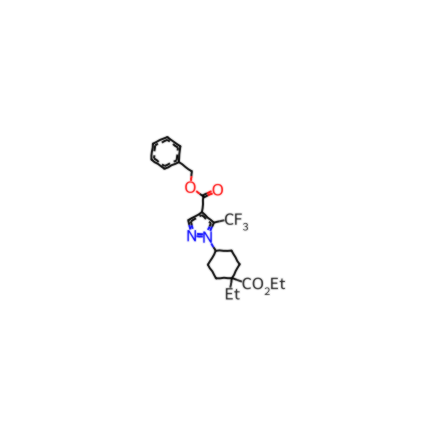 CCOC(=O)C1(CC)CCC(n2ncc(C(=O)OCc3ccccc3)c2C(F)(F)F)CC1